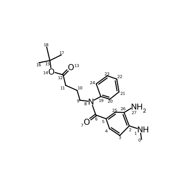 CNc1ccc(C(=O)N(CCCC(=O)OC(C)(C)C)c2ccccc2)cc1N